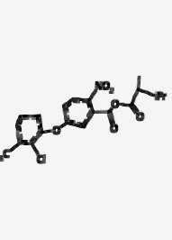 CC(C)C(C)C(=O)OC(=O)c1cc(Oc2cccc(C(F)(F)F)c2Cl)ccc1[N+](=O)[O-]